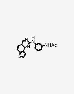 CC(=O)Nc1cccc(NC2=NC3c4ccsc4C=CC3C=N2)c1